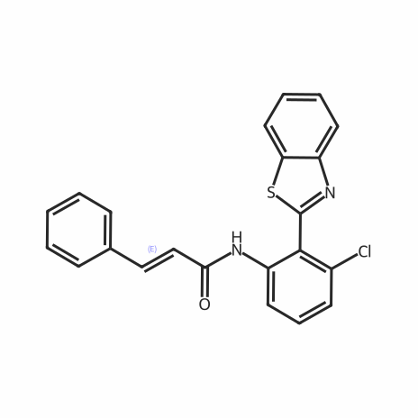 O=C(/C=C/c1ccccc1)Nc1cccc(Cl)c1-c1nc2ccccc2s1